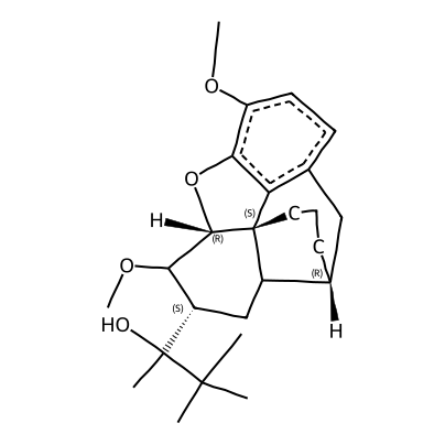 COc1ccc2c3c1O[C@H]1C(OC)[C@@H](C(C)(O)C(C)(C)C)CC4[C@H](CCC[C@@]341)C2